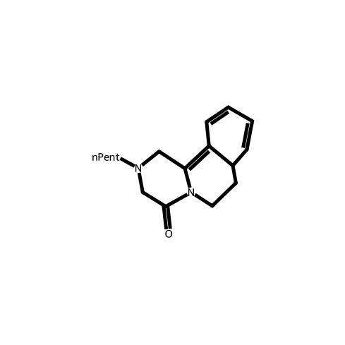 CCCCCN1CC(=O)N2CCC3C=CC=CC3=C2C1